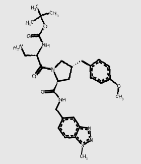 COc1ccc(C[C@@H]2C[C@@H](C(=O)NCc3ccc4c(c3)nnn4C)N(C(=O)[C@@H](CN)NC(=O)OC(C)(C)C)C2)cc1